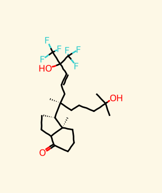 CC(C)(O)CCC[C@](C)(C/C=C/C(O)(C(F)(F)F)C(F)(F)F)[C@H]1CCC2C(=O)CCC[C@@]21C